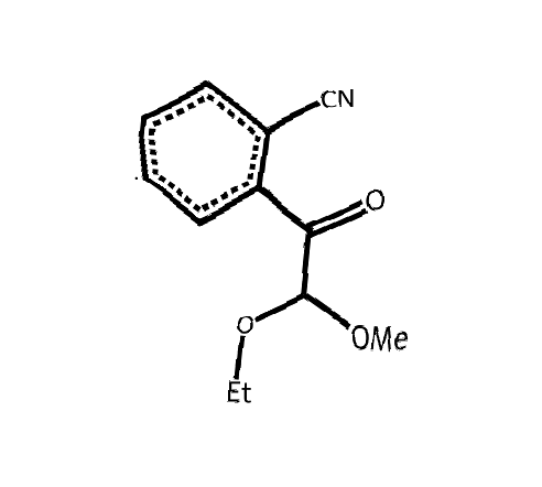 CCOC(OC)C(=O)c1c[c]ccc1C#N